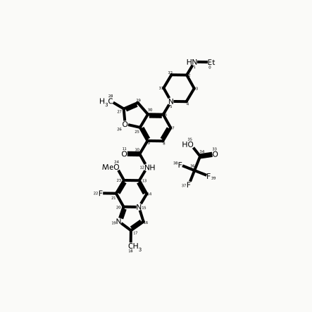 CCNC1CCN(c2ccc(C(=O)Nc3cn4cc(C)nc4c(F)c3OC)c3oc(C)cc23)CC1.O=C(O)C(F)(F)F